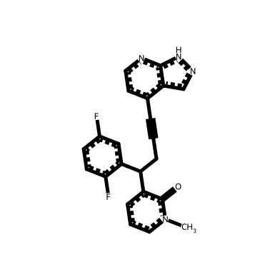 Cn1cccc(C(CC#Cc2ccnc3[nH]ncc23)c2cc(F)ccc2F)c1=O